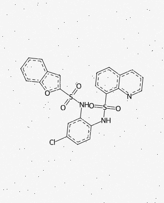 O=S(=O)(Nc1cc(Cl)ccc1NS(=O)(=O)c1cccc2cccnc12)c1cc2ccccc2o1